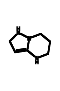 C1=C2NCCCN2NC1